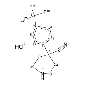 Cl.N#CC1(c2ccc(C(F)(F)F)cc2)CCNCC1